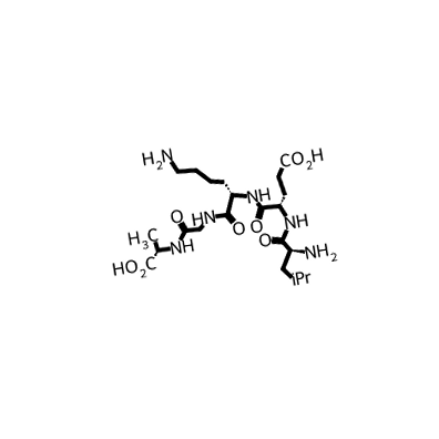 CC(C)C[C@H](N)C(=O)N[C@@H](CCC(=O)O)C(=O)N[C@@H](CCCCN)C(=O)NCC(=O)N[C@@H](C)C(=O)O